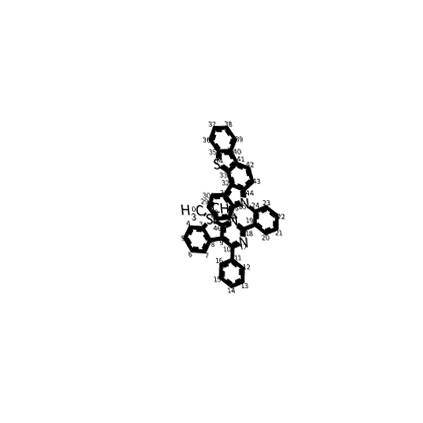 C[Si]1(C)c2ccccc2-c2c(-c3ccccc3)nc(-c3ccccc3-n3c4ccccc4c4c5sc6ccccc6c5ccc43)nc21